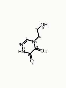 O=c1[nH]n[c]n(CCO)c1=O